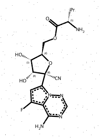 CC(C)[C@H](N)C(=O)OC[C@H]1O[C@@](C#N)(c2cc(F)c3c(N)ncnn23)[C@H](O)[C@@H]1O